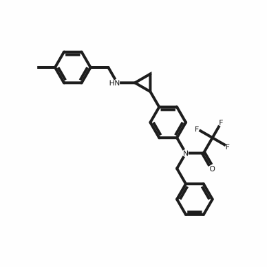 Cc1ccc(CNC2CC2c2ccc(N(Cc3ccccc3)C(=O)C(F)(F)F)cc2)cc1